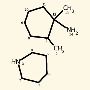 C1CCNCC1.CC1CCCCC1(C)N